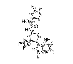 Cc1nc(N)c2c(-c3ccc(NC(=O)[C@H](O)c4cccc(F)c4)cc3OC(F)(F)F)cn(C)c2n1